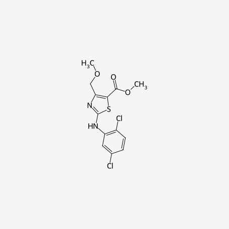 COCc1nc(Nc2cc(Cl)ccc2Cl)sc1C(=O)OC